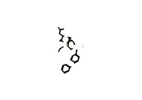 CCCN1C(=O)C(CC(C)C)NC(=O)C12CCN(Cc1ccc(Oc3ccccc3)cc1)CC2.Cl